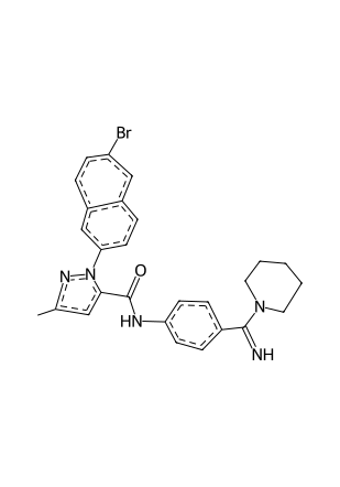 Cc1cc(C(=O)Nc2ccc(C(=N)N3CCCCC3)cc2)n(-c2ccc3cc(Br)ccc3c2)n1